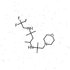 CC(CC(C)(C)NCC(F)(F)F)NC(C)(C)CN1CCOCC1